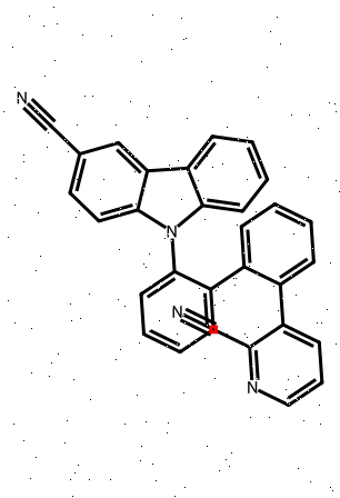 N#Cc1ccc2c(c1)c1ccccc1n2-c1ccccc1-c1ccccc1-c1cccnc1C#N